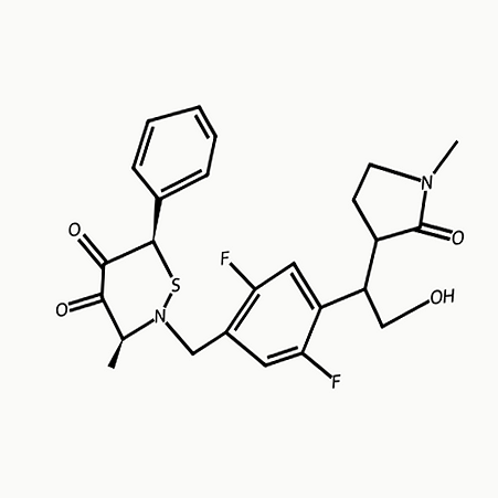 C[C@H]1C(=O)C(=O)[C@@H](c2ccccc2)SN1Cc1cc(F)c(C(CO)C2CCN(C)C2=O)cc1F